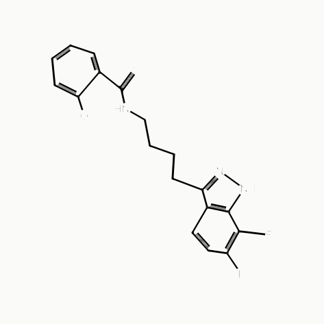 O=C(NCCCCc1n[nH]c2c(F)c(F)ccc12)c1ccccc1O